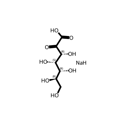 O=C(O)C(=O)[C@H](O)[C@@H](O)[C@H](O)[C@H](O)CO.[NaH]